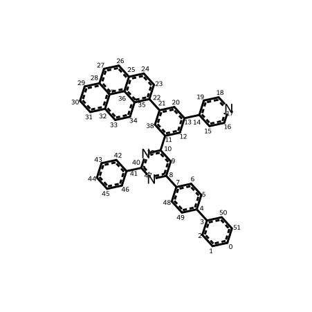 c1ccc(-c2ccc(-c3cc(-c4cc(-c5ccncc5)cc(-c5ccc6ccc7cccc8ccc5c6c78)c4)nc(-c4ccccc4)n3)cc2)cc1